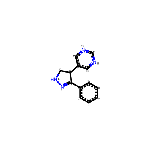 c1ccc(C2=NNCC2c2cncnc2)cc1